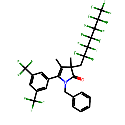 CC1=C(c2cc(C(F)(F)F)cc(C(F)(F)F)c2)N(Cc2ccccc2)C(=O)C1(C)CC(F)(F)C(F)(F)C(F)(F)C(F)(F)C(F)(F)C(F)(F)F